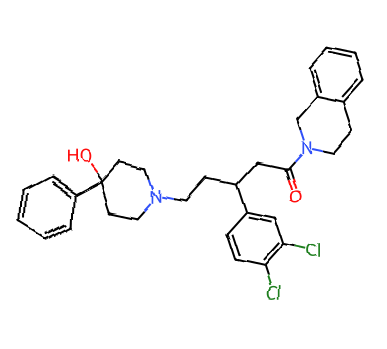 O=C(CC(CCN1CCC(O)(c2ccccc2)CC1)c1ccc(Cl)c(Cl)c1)N1CCc2ccccc2C1